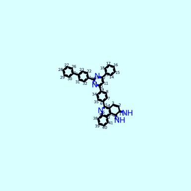 N=C1C=Cc2c(-c3ccc(-c4cc(-c5ccccc5)nc(-c5ccc(-c6ccccc6)cc5)n4)cc3)nc3ccccc3c2C1=N